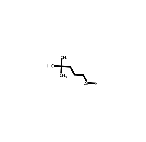 CC(C)(C)CCC[SiH2]Br